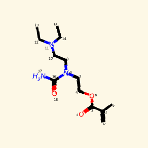 C=C(C)C(=O)OCCN(CCN(CC)CC)C(N)=O